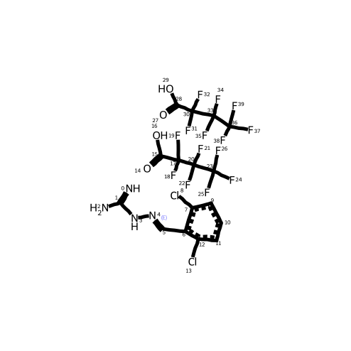 N=C(N)N/N=C/c1c(Cl)cccc1Cl.O=C(O)C(F)(F)C(F)(F)C(F)(F)F.O=C(O)C(F)(F)C(F)(F)C(F)(F)F